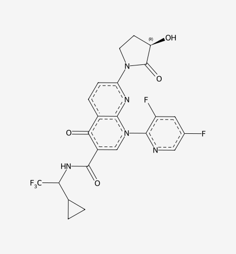 O=C(NC(C1CC1)C(F)(F)F)c1cn(-c2ncc(F)cc2F)c2nc(N3CC[C@@H](O)C3=O)ccc2c1=O